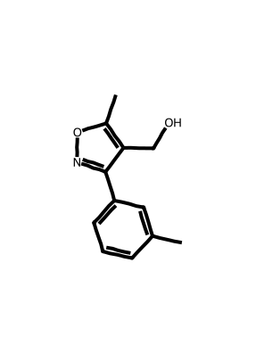 Cc1cccc(-c2noc(C)c2CO)c1